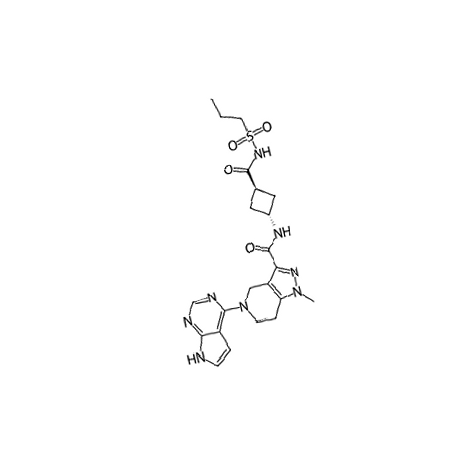 CCCS(=O)(=O)NC(=O)[C@H]1C[C@H](NC(=O)c2nn(C)c3c2CN(c2ncnc4[nH]ccc24)CC3)C1